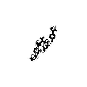 Cc1ncsc1-c1ccc(CNCC2C[C@@H](O)CN2C(=O)C(c2cc(N3CCN(C(=O)OC(C)(C)C)CC3)no2)C(C)C)cc1